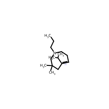 CCCN1CC/C=C(\C(C)C)CC(C)(C)C1